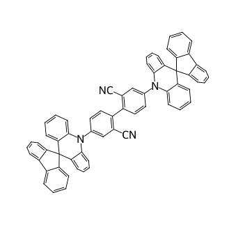 N#Cc1cc(N2c3ccccc3C3(c4ccccc4-c4ccccc43)c3ccccc32)ccc1-c1ccc(N2c3ccccc3C3(c4ccccc4-c4ccccc43)c3ccccc32)cc1C#N